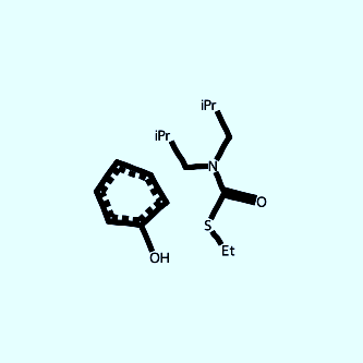 CCSC(=O)N(CC(C)C)CC(C)C.Oc1ccccc1